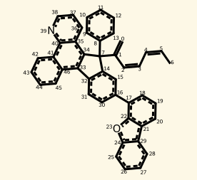 C=C(/C=C\C=C/C)C1(c2ccccc2)c2cc(-c3cccc4c3oc3ccccc34)ccc2-c2c1c1cccnc1c1ccccc21